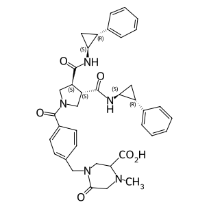 CN1CC(=O)N(Cc2ccc(C(=O)N3C[C@@H](C(=O)N[C@H]4C[C@@H]4c4ccccc4)[C@H](C(=O)N[C@H]4C[C@@H]4c4ccccc4)C3)cc2)CC1C(=O)O